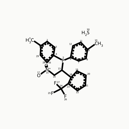 Cc1ccc(P(c2ccc(C)cc2)C(C[N+](=O)[O-])c2ccccc2C(F)(F)F)cc1.S